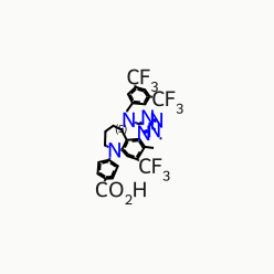 Cc1cc2c(cc1C(F)(F)F)N(c1ccc(C(=O)O)cc1)CCC[C@@H]2N(Cc1cc(C(F)(F)F)cc(C(F)(F)F)c1)c1nnn(C)n1